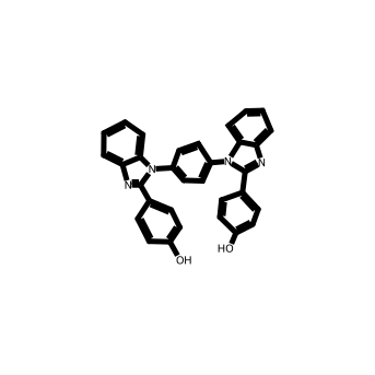 Oc1ccc(-c2nc3ccccc3n2-c2ccc(-n3c(-c4ccc(O)cc4)nc4ccccc43)cc2)cc1